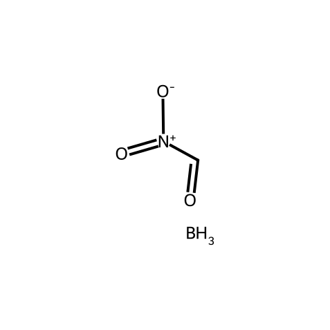 B.O=C[N+](=O)[O-]